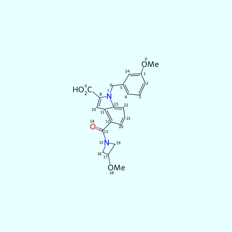 COc1cccc(Cn2c(C(=O)O)cc3c(C(=O)N4CC(OC)C4)cccc32)c1